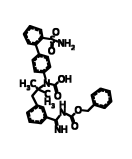 CC(C)(Cc1cccc(C(=N)NC(=O)OCc2ccccc2)c1)N(C(=O)O)c1ccc(-c2ccccc2S(N)(=O)=O)cc1